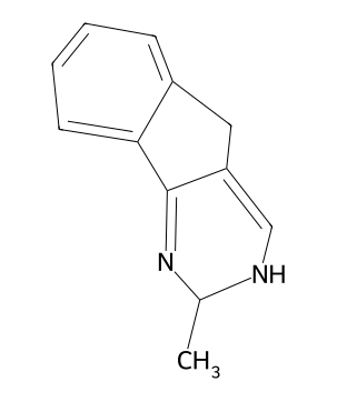 CC1N=C2C(=CN1)Cc1ccccc12